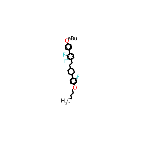 C=CCCCOc1ccc(C2CCC(CCc3ccc(-c4ccc(OCCCC)cc4)c(F)c3F)CC2)c(F)c1